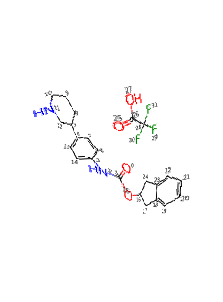 O=C(Nc1ccc(C2CCCNC2)cc1)OC1Cc2ccccc2C1.O=C(O)C(F)(F)F